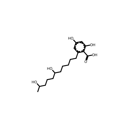 CC(O)CCCC(O)CCCCCc1cc(O)cc(O)c1C(=O)O